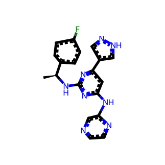 C[C@H](Nc1nc(Nc2cnccn2)cc(-c2cn[nH]c2)n1)c1ccc(F)cc1